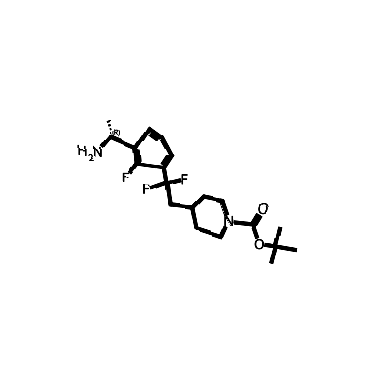 C[C@@H](N)c1cccc(C(F)(F)CC2CCN(C(=O)OC(C)(C)C)CC2)c1F